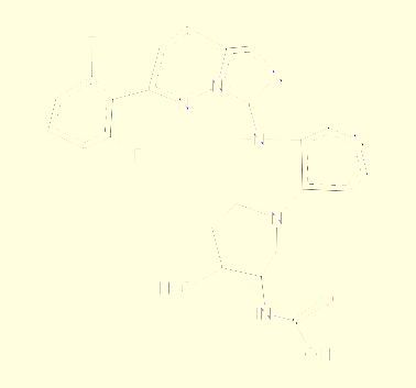 CC1CCN(c2ccncc2Nc2ncc3ccc(-c4c(F)cccc4F)nn23)CC1NC(=O)O